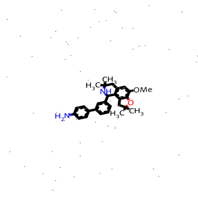 COc1cc2c(c3c1OC(C)(C)C3)C(c1cccc(-c3ccc(N)cc3)c1)NC(C)(C)C2